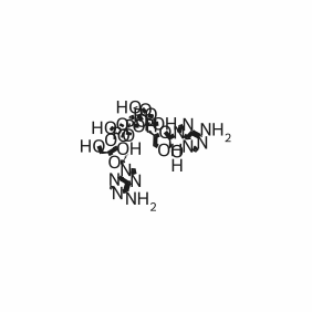 Nc1ncnc2c1ncn2[C@@H](CO)O[C@@H](CO)COP(=O)(O)OP(=O)(O)CP(=O)(O)OP(=O)(O)C[C@H](CO)O[C@H](CO)n1cnc2c(N)ncnc21